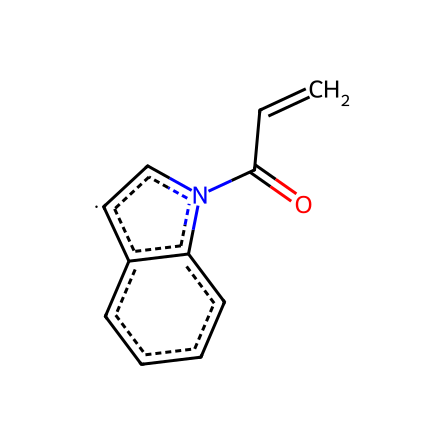 C=CC(=O)n1c[c]c2ccccc21